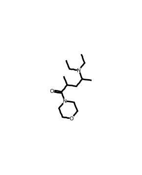 CCN(CC)C(C)CC(C)C(=O)N1CCOCC1